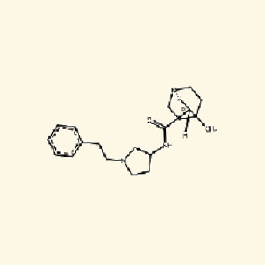 CC12CCN(CC1)C[C@H]2C(=O)NC1CCN(CCc2ccccc2)C1